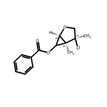 C[C@]12C(OC(=O)c3ccccc3)[C@H]1OC[C@@]2(C)Cl